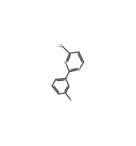 Clc1ccnc(-c2cccc(I)c2)n1